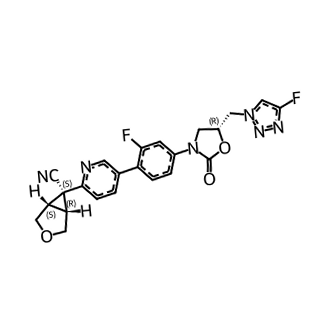 N#C[C@]1(c2ccc(-c3ccc(N4C[C@H](Cn5cc(F)nn5)OC4=O)cc3F)cn2)[C@@H]2COC[C@@H]21